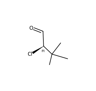 CC(C)(C)[C@@H](Cl)C=O